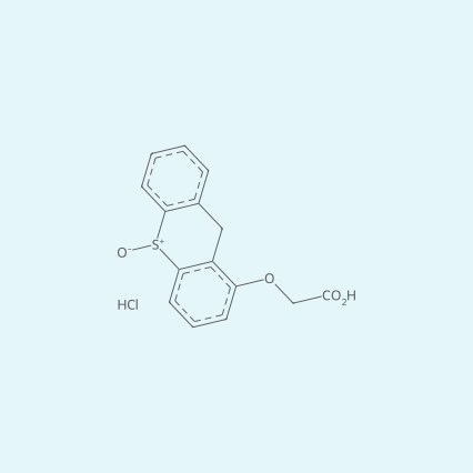 Cl.O=C(O)COc1cccc2c1Cc1ccccc1[S+]2[O-]